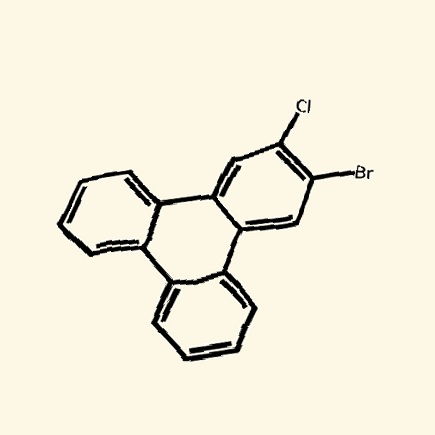 Clc1cc2c3ccccc3c3ccccc3c2cc1Br